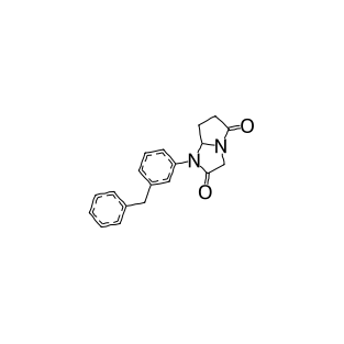 O=C1CCC2N1CC(=O)N2c1cccc(Cc2ccccc2)c1